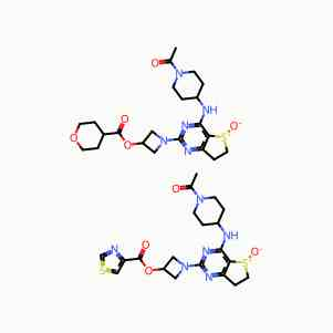 CC(=O)N1CCC(Nc2nc(N3CC(OC(=O)C4CCOCC4)C3)nc3c2[S+]([O-])CC3)CC1.CC(=O)N1CCC(Nc2nc(N3CC(OC(=O)c4cscn4)C3)nc3c2[S+]([O-])CC3)CC1